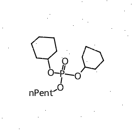 CCCCCOP(=O)(OC1CCCCC1)OC1CCCCC1